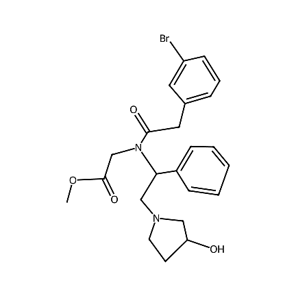 COC(=O)CN(C(=O)Cc1cccc(Br)c1)C(CN1CCC(O)C1)c1ccccc1